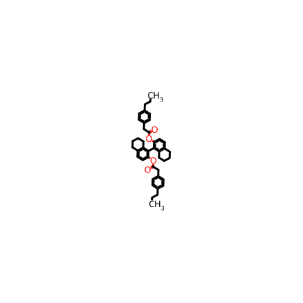 CCCc1ccc(CC(=O)Oc2ccc3c(c2-c2c(OC(=O)Cc4ccc(CCC)cc4)ccc4c2CCCC4)CCCC3)cc1